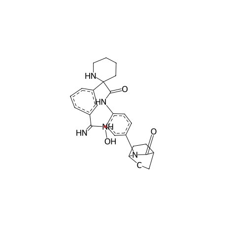 N=C(NO)c1cccc(C2(C(=O)Nc3ccc(N4C(=O)C5CCC4CC5)cc3)CCCCN2)c1